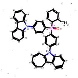 CC1C=CC=CC1P(=O)(c1ccc(-n2c3c(c4c#cccc42)CC=CC=C3)cc1)c1ccc(-n2c3ccccc3c3ccccc32)cc1